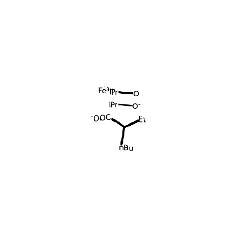 CC(C)[O-].CC(C)[O-].CCCCC(CC)C(=O)[O-].[Fe+3]